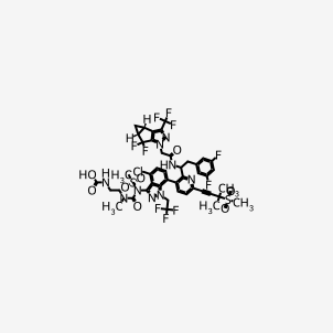 CN(CCNC(=O)O)C(=O)N(c1nn(CC(F)(F)F)c2c(-c3ccc(C#CC(C)(C)S(C)(=O)=O)nc3C(Cc3cc(F)cc(F)c3)NC(=O)Cn3nc(C(F)(F)F)c4c3C(F)(F)[C@@H]3C[C@H]43)ccc(Cl)c12)S(C)(=O)=O